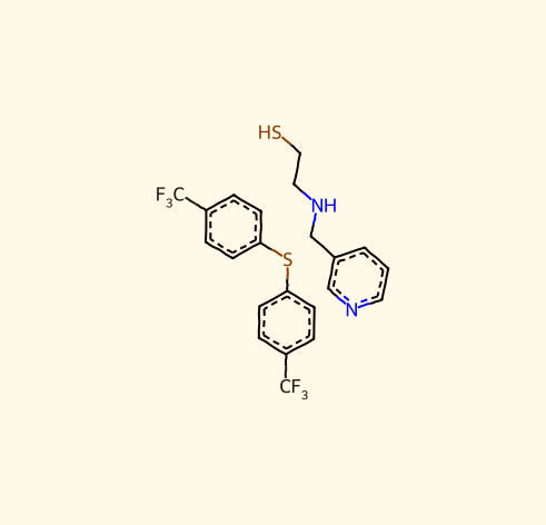 FC(F)(F)c1ccc(Sc2ccc(C(F)(F)F)cc2)cc1.SCCNCc1cccnc1